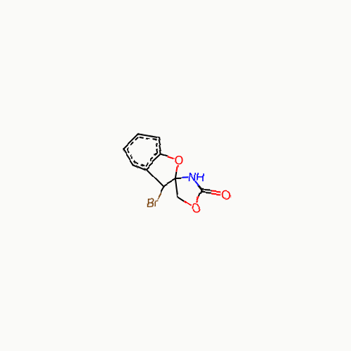 O=C1NC2(CO1)Oc1ccccc1C2Br